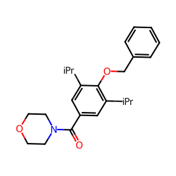 CC(C)c1cc(C(=O)N2CCOCC2)cc(C(C)C)c1OCc1ccccc1